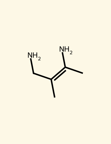 C/C(N)=C(\C)CN